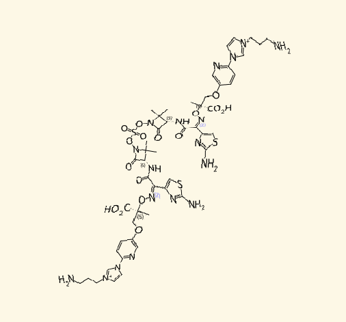 CC1(C)[C@H](NC(=O)/C(=N\O[C@@](C)(COc2ccc(-n3cc[n+](CCCN)c3)nc2)C(=O)O)c2csc(N)n2)C(=O)N1OS(=O)(=O)ON1C(=O)[C@@H](NC(=O)/C(=N\O[C@@](C)(COc2ccc(-n3cc[n+](CCCN)c3)nc2)C(=O)O)c2csc(N)n2)C1(C)C